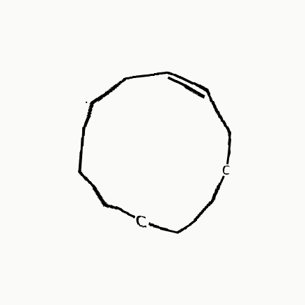 [CH]1CC=CCCCCCCCC1